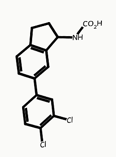 O=C(O)NC1CCc2ccc(-c3ccc(Cl)c(Cl)c3)cc21